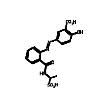 CC(NC(=O)c1ccccc1N=Nc1ccc(O)c(C(=O)O)c1)S(=O)(=O)O